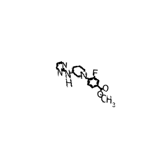 COC(=O)c1ccc(N2CCC[C@H](Nc3ncccn3)C2)c(F)c1